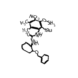 Cc1c(C)c([N+](=O)[O-])c(O[SiH3])c(C(C)(C)C)c1NC(=O)NC1CCCCC1OCc1ccccc1